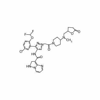 CN(CC1CCC(=O)O1)C1CCN(C(=O)Cn2cc(NC(=O)C3=C4N=CC=CN4NC3)c(-c3cc(Cl)ccc3OC(F)F)n2)CC1